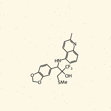 CSCC(O)(C(Nc1cccc2nc(C)ccc12)c1ccc2c(c1)OCO2)C(F)(F)F